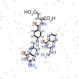 NNc1nc2nccnc2c(=O)[nH]1.Nc1nc2ncc(CNc3ccc(C(=O)NC(CCC(=O)O)C(=O)O)cc3)nc2c(=O)[nH]1